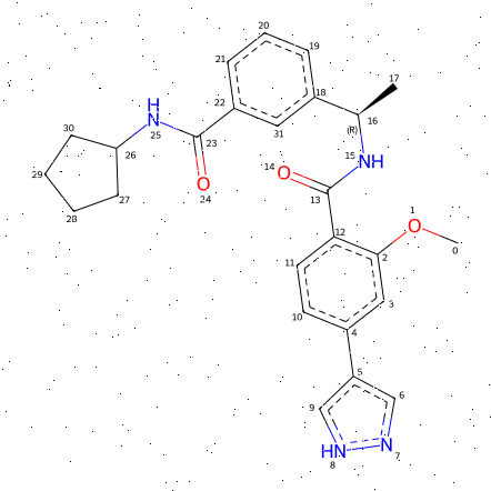 COc1cc(-c2cn[nH]c2)ccc1C(=O)N[C@H](C)c1cccc(C(=O)NC2CCCC2)c1